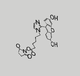 O=C(CCCCCn1ccnc1C1=C2C=CC(O)C=C2Oc2cc(O)ccc21)ON1C(=O)CCC1=O